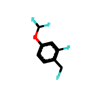 FCc1ccc(OC(F)F)cc1F